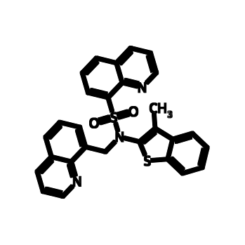 Cc1c(N(Cc2cccc3cccnc23)S(=O)(=O)c2cccc3cccnc23)sc2ccccc12